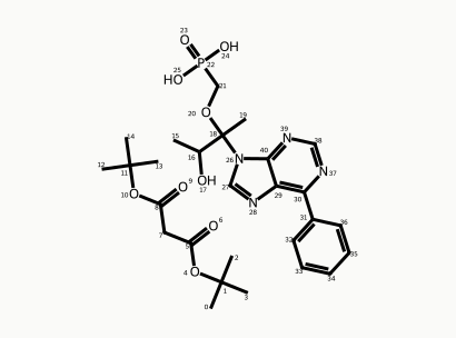 CC(C)(C)OC(=O)CC(=O)OC(C)(C)C.CC(O)C(C)(OCP(=O)(O)O)n1cnc2c(-c3ccccc3)ncnc21